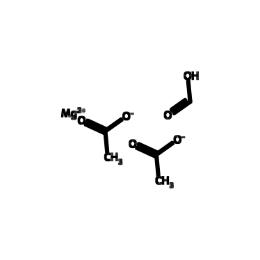 CC(=O)[O-].CC(=O)[O-].O=CO.[Mg+2]